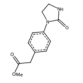 COC(=O)Cc1ccc(N2CCNC2=O)cc1